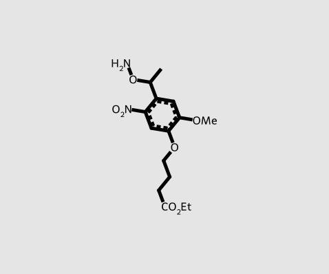 CCOC(=O)CCCOc1cc([N+](=O)[O-])c(C(C)ON)cc1OC